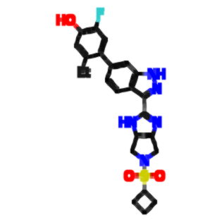 CCc1cc(O)c(F)cc1-c1ccc2c(-c3nc4c([nH]3)CN(S(=O)(=O)C3CCC3)C4)n[nH]c2c1